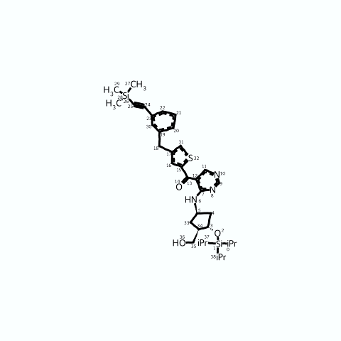 CC(C)[Si](O[C@H]1C[C@H](Nc2ncncc2C(=O)c2cc(Cc3cccc(C#C[Si](C)(C)C)c3)cs2)C[C@@H]1CO)(C(C)C)C(C)C